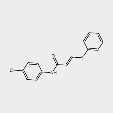 O=C(C=CSc1ccccc1)Nc1ccc(Cl)cc1